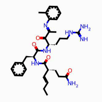 CC/C=C/[C@@H](CCC(N)=O)C(=O)N[C@@H](Cc1ccccc1)C(=O)N[C@@H](CCCNC(=N)N)C(=O)/C(C)=N/c1ccccc1C